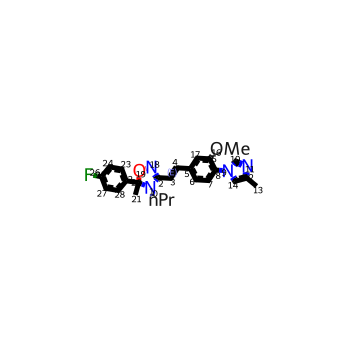 CCCN1C(/C=C/c2ccc(-n3cnc(C)c3)c(OC)c2)=NOC1(C)c1ccc(F)cc1